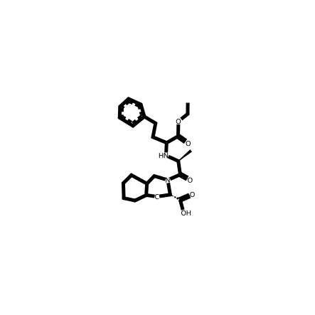 CCOC(=O)C(CCc1ccccc1)N[C@@H](C)C(=O)N1CC2CCCCC2C[C@H]1C(=O)O